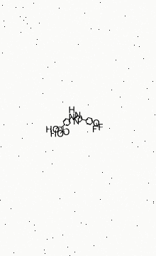 O=C(O)[C@H](CO)c1ccc(Nc2ncc(-c3ccc(OC(F)F)cc3)cn2)cc1